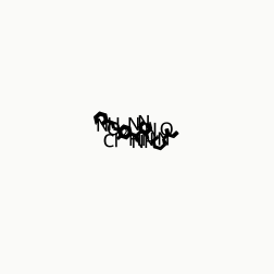 C=CC(=O)N1CCC[C@@H](Nc2ncnc(N)c2C(=N)c2ccc(OCc3ccccn3)c(Cl)c2)C1